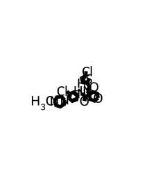 CN1CCCN(c2ccc(NC(=O)C3(NC(=O)c4ccc(Cl)s4)CCOCC3)cc2Cl)CC1